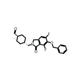 O=C[C@H]1CC[C@H](CN2Cc3cc(F)c(OCc4ccccc4)c(F)c3C2=O)CC1